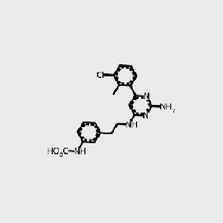 Cc1c(Cl)cccc1-c1cc(NCCc2cccc(NC(=O)O)c2)nc(N)n1